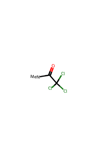 [CH2]NC(=O)C(Cl)(Cl)Cl